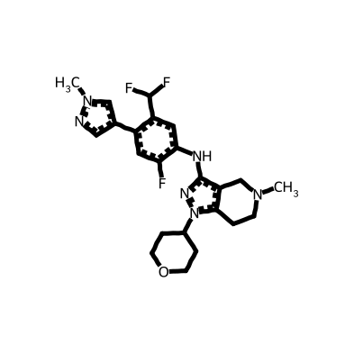 CN1CCc2c(c(Nc3cc(C(F)F)c(-c4cnn(C)c4)cc3F)nn2C2CCOCC2)C1